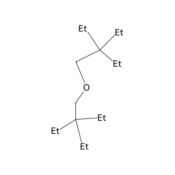 CCC(CC)(CC)COCC(CC)(CC)CC